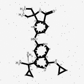 CCC1(CC)OC(=O)c2ccc(Nc3cc4c([C@](C)(N)C5CC5)cnc(OC5CC5)c4cn3)nc21